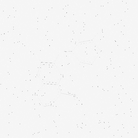 Cc1cccc(Oc2ccc3ncnc(N)c3n2)c1